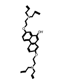 C=CCN(CC=C)CCOc1ccc2c(c1)cc(O)c1cc(OCCN(CC=C)CC=C)ccc12